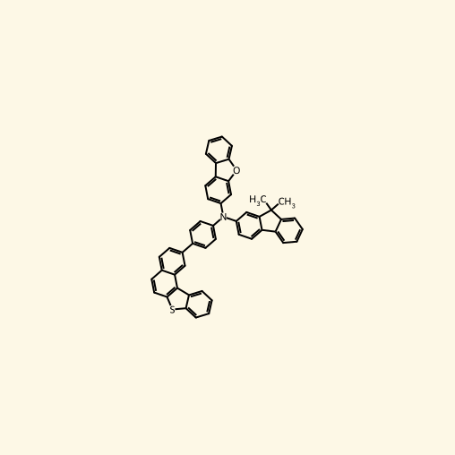 CC1(C)c2ccccc2-c2ccc(N(c3ccc(-c4ccc5ccc6sc7ccccc7c6c5c4)cc3)c3ccc4c(c3)oc3ccccc34)cc21